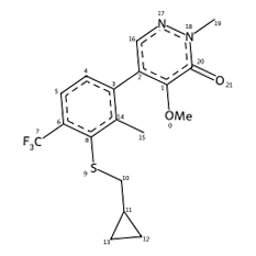 COc1c(-c2ccc(C(F)(F)F)c(SCC3CC3)c2C)cnn(C)c1=O